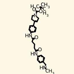 CNCc1ccc(NC(=O)CCCC(=O)Nc2ccc(C3=CCN(C(=O)OC(C)(C)C)CC3)cc2)cc1